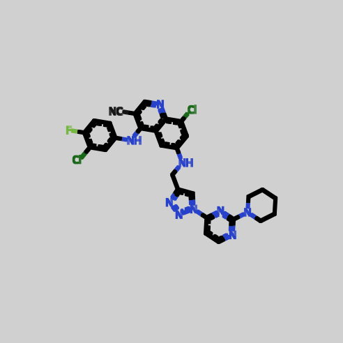 N#Cc1cnc2c(Cl)cc(NCc3cn(-c4ccnc(N5CCCCC5)n4)nn3)cc2c1Nc1ccc(F)c(Cl)c1